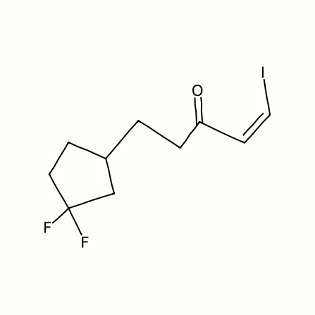 O=C(/C=C\I)CCC1CCC(F)(F)C1